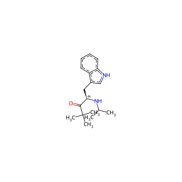 CC(C)N[C@H](Cc1c[nH]c2ccccc12)C(=O)C(C)(C)C